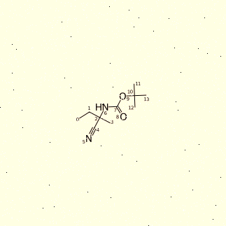 CCC(C)(C#N)NC(=O)OC(C)(C)C